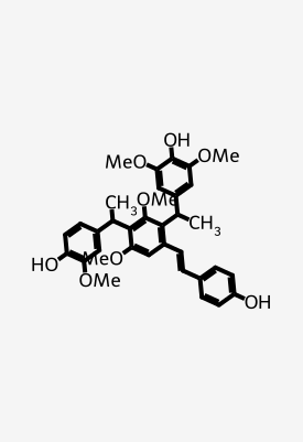 COc1cc(C(C)c2c(OC)cc(/C=C/c3ccc(O)cc3)c(C(C)c3cc(OC)c(O)c(OC)c3)c2OC)ccc1O